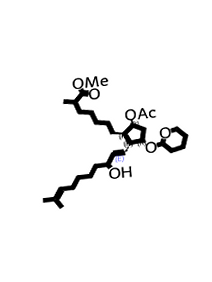 COC(=O)C(C)CCCCC[C@@H]1[C@@H](/C=C/C(O)CCCCC=C(C)C)[C@H](OC2CCCCO2)C[C@H]1OC(C)=O